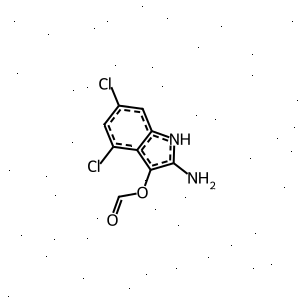 Nc1[nH]c2cc(Cl)cc(Cl)c2c1OC=O